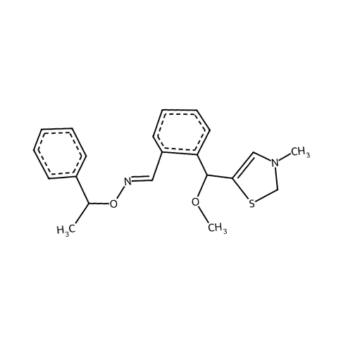 COC(C1=CN(C)CS1)c1ccccc1C=NOC(C)c1ccccc1